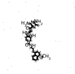 COc1ccc(CCCNC(=O)N2CCC3(CC2)CN/C(=N\C(=O)c2nc(I)c(N)nc2N)N3)c2ccccc12